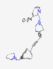 O=[N+]([O-])c1cccnc1N1CCC(=CC#Cc2ccc(CN3CCCC3)cc2)CC1